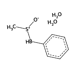 C[S+]([O-])Bc1ccccc1.O.O